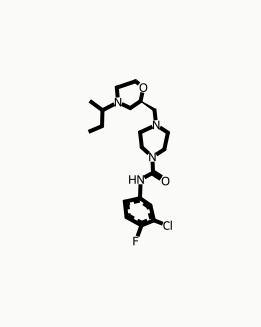 CCC(C)N1CCO[C@@H](CN2CCN(C(=O)Nc3ccc(F)c(Cl)c3)CC2)C1